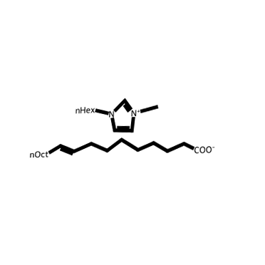 CCCCCCCCC=CCCCCCCCC(=O)[O-].CCCCCCn1cc[n+](C)c1